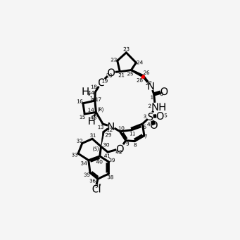 O=C1NS(=O)(=O)c2ccc3c(c2)N(C[C@@H]2CC[C@H]2CCOC2CCCC24CN1C4)C[C@@]1(CCCc2cc(Cl)ccc21)CO3